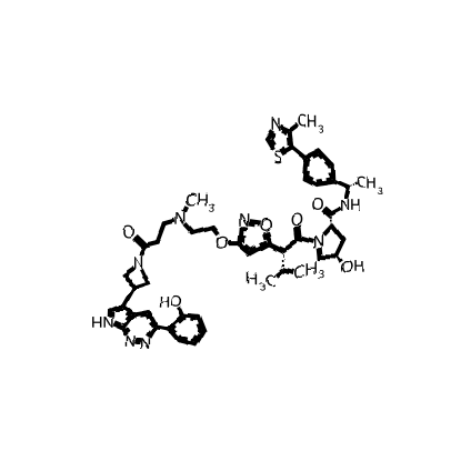 Cc1ncsc1-c1ccc([C@H](C)NC(=O)[C@@H]2C[C@@H](O)CN2C(=O)[C@@H](c2cc(OCCN(C)CCC(=O)N3CC(c4c[nH]c5nnc(-c6ccccc6O)cc45)C3)no2)C(C)C)cc1